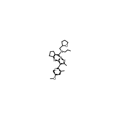 CCCN(CC1CCCO1)c1c2c(nc3c(-c4ccc(OC)cc4C)c(C)nn13)CCC2